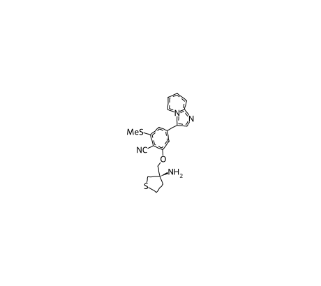 CSc1cc(-c2cnc3ccccn23)cc(OC[C@]2(N)CCSC2)c1C#N